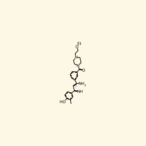 CCOCCN1CCN(C(=O)c2cccc(/C(N)=C/C(=N)c3ccc(O)c(C)c3)c2)CC1